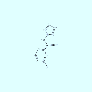 Cc1cccc(C(=O)On2cccc2)c1